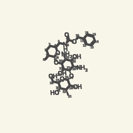 CC1CCC(CNC(=O)OCc2ccccc2)O[C@@H]1OC1C(O)[C@@H](O[C@H]2OC(CO)[C@@H](O)[C@H](C)C2O)[C@H](N)C(O)[C@@H]1N